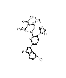 CC(=O)N1[C@H](C)CN(c2nc(-c3c[nH]c4ncc(Cl)cc34)ccc2-c2nnn[nH]2)C[C@@H]1C